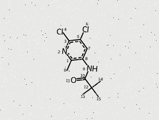 [CH2]c1nc(Cl)c(Cl)cc1NC(=O)C(C)(C)C